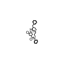 O=C1CC(C(=O)N(CCCN2CCC(Cc3ccccc3)CC2)c2ccccc2)CN1